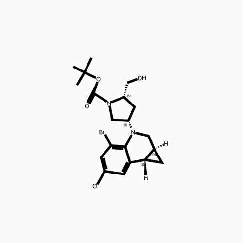 CC(C)(C)OC(=O)N1C[C@@H](N2C[C@H]3C[C@@H]3c3cc(Cl)cc(Br)c32)C[C@H]1CO